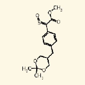 COC(=O)C(=S=O)c1ccc(CC2COC(C)(C)OC2)cc1